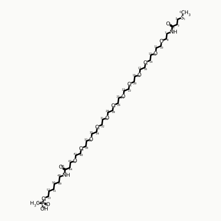 CSCCC(=O)NCCOCCOCCOCCOCCOCCOCCOCCOCCOCCOCCOCCOCCC(=O)NCCCCCCOP(C)(=O)O